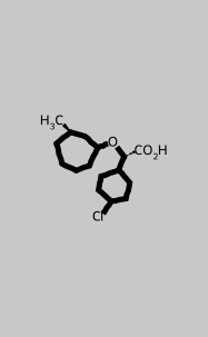 C[C@@H]1CCCCC(O[C@H](C(=O)O)C2CCC(Cl)CC2)C1